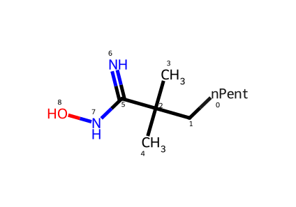 CCCCCCC(C)(C)C(=N)NO